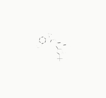 C=C/C=C(\C=C1\C=C(C(C)(C)C)NC1)NC(=O)C1(c2ccc3c(c2)OCO3)CC1